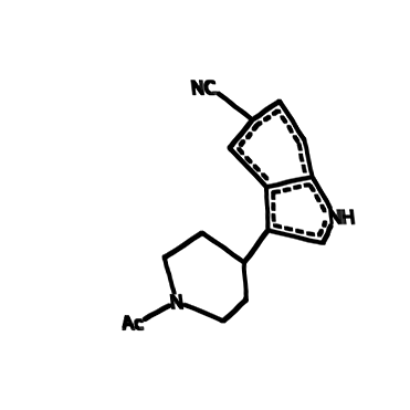 CC(=O)N1CCC(c2c[nH]c3ccc(C#N)cc23)CC1